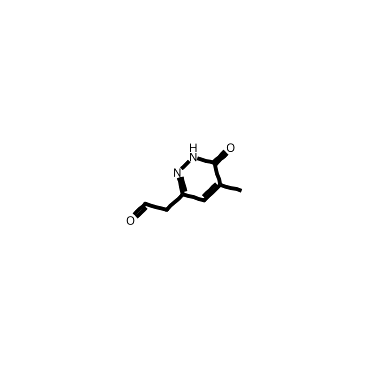 Cc1cc(CC=O)n[nH]c1=O